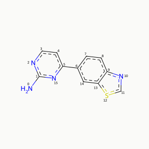 Nc1nccc(-c2ccc3ncsc3c2)n1